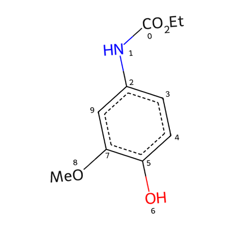 CCOC(=O)Nc1ccc(O)c(OC)c1